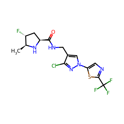 C[C@@H]1N[C@H](C(=O)NCc2cn(-c3cnc(C(F)(F)F)s3)nc2Cl)C[C@H]1F